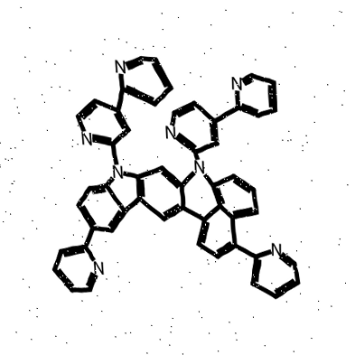 c1ccc(-c2ccnc(N3c4cc5c(cc4-c4ccc(-c6ccccn6)c6cccc3c46)c3cc(-c4ccccn4)ccc3n5-c3cc(-c4ccccn4)ccn3)c2)nc1